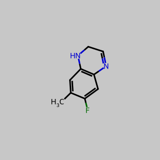 Cc1cc2c(cc1F)N=CCN2